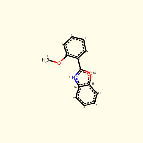 BOc1ccccc1-c1nc2ccccc2o1